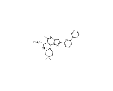 Cc1nc2cc(-c3cccc(-c4ccccc4)n3)nn2c(N2CCC(C)(C)CC2)c1[C@H](O)C(=O)O